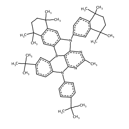 Cc1nc2c3c(n1)N(c1ccc4c(c1)C(C)(C)CCC4(C)C)c1cc4c(cc1B3c1cc(C(C)(C)C)ccc1N2c1ccc(C(C)(C)C)cc1)C(C)(C)CCC4(C)C